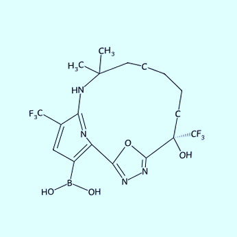 CC1(C)CCCCC[C@](O)(C(F)(F)F)c2nnc(o2)-c2nc(c(C(F)(F)F)cc2B(O)O)N1